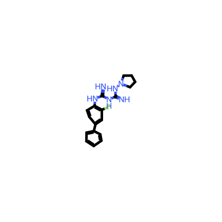 N=C(NC(=N)NN1CCCC1)Nc1ccc(-c2ccccc2)cc1F